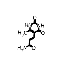 Cc1[nH]c(=O)[nH]c(=O)c1/C=C/C(N)=O